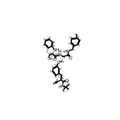 Cc1ccc(CNC(=O)[C@H](COc2cccc(/C=C(\C#N)C(=O)NC(C)(C)C)c2)NC(=O)[C@@H](Nc2ccccc2)[C@@H](C)O)cc1